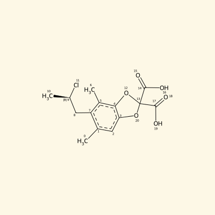 Cc1cc2c(c(C)c1C[C@@H](C)Cl)OC(C(=O)O)(C(=O)O)O2